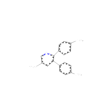 CNc1cnc(-c2ccc(OC)cc2)c(-c2ccc(OC)cc2)c1